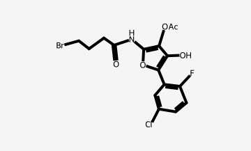 CC(=O)Oc1c(NC(=O)CCCBr)oc(-c2cc(Cl)ccc2F)c1O